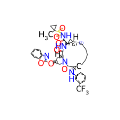 CC1(S(=O)(=O)NC(=O)[C@@]23C[C@H]2/C=C\CCCCC[C@H](Nc2cccc(C(F)(F)F)c2)C(=O)N2C[C@H](Oc4nc5ccccc5o4)C[C@H]2C(=O)N3)CC1